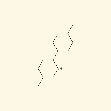 CC1CCC(C2CCC(C)CN2)CC1